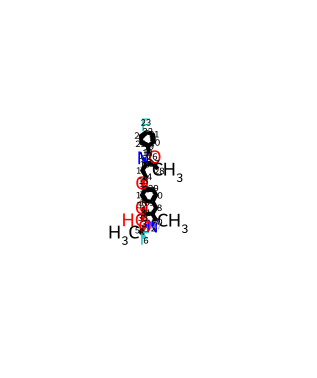 C/C(=N/OC(C)F)C(Cc1ccc(OCCc2nc(-c3ccc(F)cc3)oc2C)cc1)C(=O)O